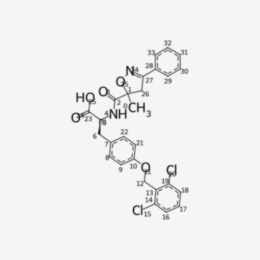 CC1(C(=O)N[C@@H](Cc2ccc(OCc3c(Cl)cccc3Cl)cc2)C(=O)O)CC(c2ccccc2)=NO1